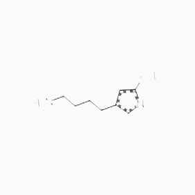 Cc1cc(CCCCN)c[nH]1